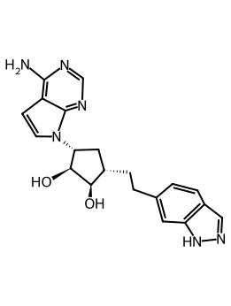 Nc1ncnc2c1ccn2[C@@H]1C[C@H](CCc2ccc3cn[nH]c3c2)[C@@H](O)[C@H]1O